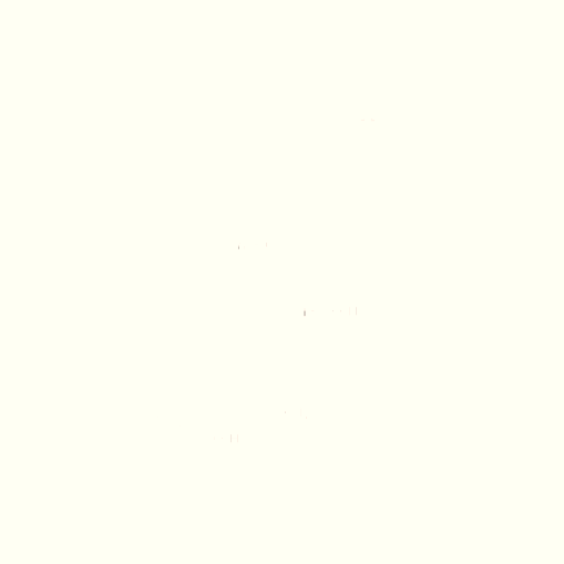 CC1CCC(C(C)C)C(O)C1.CCCCCCCC/C=C\CCCCCCCC(=O)O.CCCCCCCC/C=C\CCCCCCCC(=O)O.CCCCCCCC/C=C\CCCCCCCC(=O)O